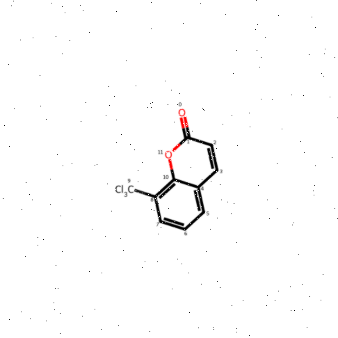 O=c1ccc2cccc(C(Cl)(Cl)Cl)c2o1